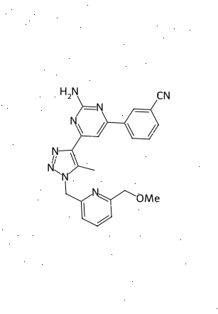 COCc1cccc(Cn2nnc(-c3cc(-c4cccc(C#N)c4)nc(N)n3)c2C)n1